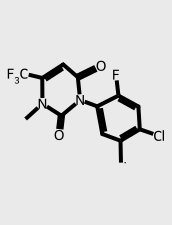 [CH2]c1cc(-n2c(=O)cc(C(F)(F)F)n(C)c2=O)c(F)cc1Cl